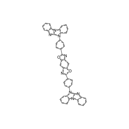 c1ccc2c(c1)nc1n(-c3ccc(-c4nc5cc6oc(-c7ccc(-n8c9ccccc9n9c%10ccccc%10nc89)cc7)nc6cc5o4)cc3)c3ccccc3n21